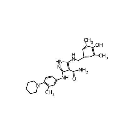 Cc1cc(Nc2n[nH]c(NCc3cc(C)c(O)c(C)c3)c2C(N)=O)ccc1N1CCCCC1